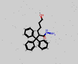 NNC(=O)C(CCCCO)C(c1ccccc1)(c1ccccc1)c1ccccc1